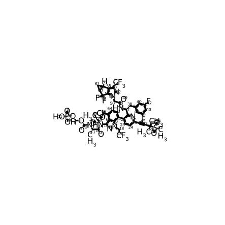 C[C@H](NC(=O)OCOP(=O)(O)O)C(=O)N(c1nn(CC(F)(F)F)c2c(-c3ccc(C#CC(C)(C)S(C)(=O)=O)nc3[C@H](Cc3cc(F)cc(F)c3)NC(=O)Cn3nc(C(F)(F)F)c4c3C(F)(F)C3C[C@H]43)ccc(Cl)c12)S(C)(=O)=O